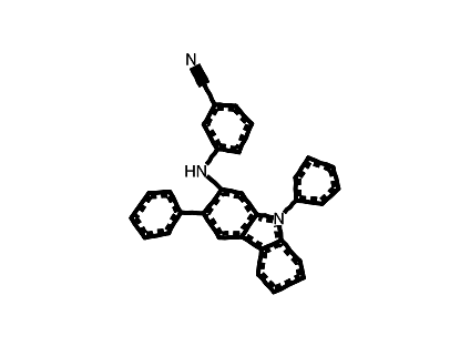 N#Cc1cccc(Nc2cc3c(cc2-c2ccccc2)c2ccccc2n3-c2ccccc2)c1